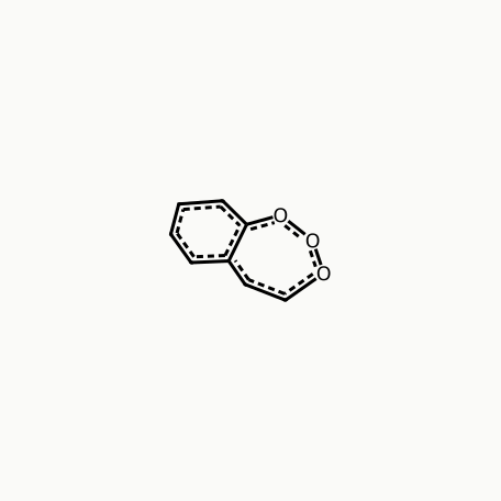 c1ccc2oooccc2c1